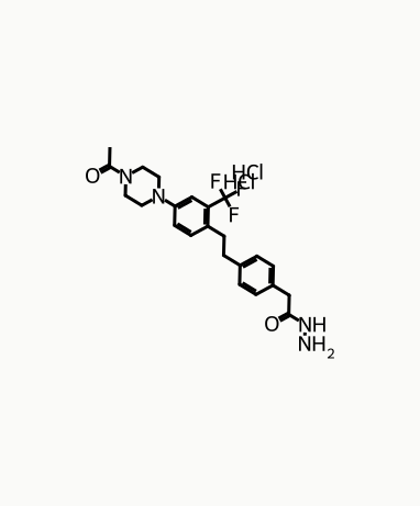 CC(=O)N1CCN(c2ccc(CCc3ccc(CC(=O)NN)cc3)c(C(F)(F)F)c2)CC1.Cl.Cl